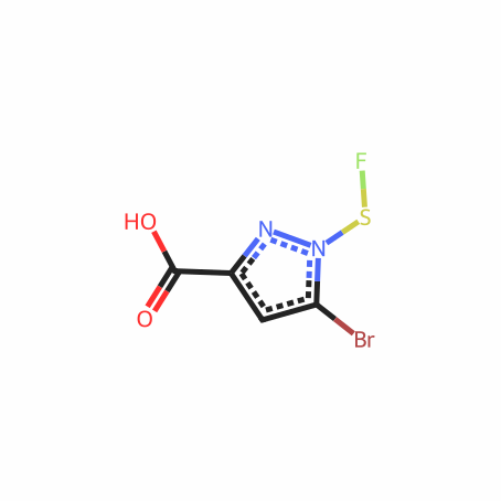 O=C(O)c1cc(Br)n(SF)n1